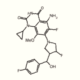 COc1c(N2CC(F)C(C(O)c3ccc(F)cc3)C2)c(F)c(N)c2c(=O)[nH]c(=O)n(C3CC3)c12